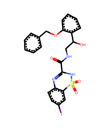 O=C(NCC(O)c1ccccc1OCc1ccccc1)C1=Nc2ccc(I)cc2S(=O)(=O)N1